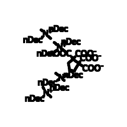 CCCCCCCCCC[N+](C)(C)CCCCCCCCCC.CCCCCCCCCC[N+](C)(C)CCCCCCCCCC.CCCCCCCCCC[N+](C)(C)CCCCCCCCCC.CCCCCCCCCC[N+](C)(C)CCCCCCCCCC.O=C([O-])C1(C(=O)[O-])CCCC1(C(=O)[O-])C(=O)[O-]